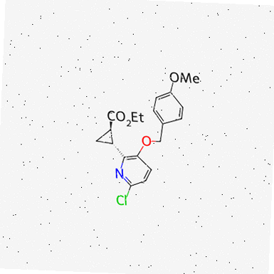 CCOC(=O)[C@@H]1C[C@H]1c1nc(Cl)ccc1OCc1ccc(OC)cc1